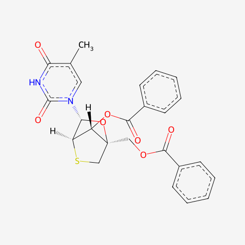 Cc1cn([C@@H]2O[C@@]3(COC(=O)c4ccccc4)CS[C@@H]2[C@@H]3OC(=O)c2ccccc2)c(=O)[nH]c1=O